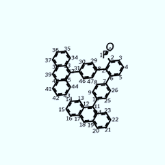 O=Pc1cccc(-c2ccc(-c3c4ccccc4cc4ccccc34)cc2)c1-c1ccc(-c2c3ccccc3cc3ccccc23)cc1